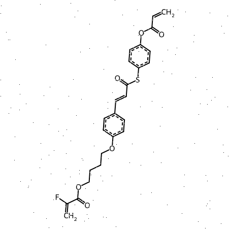 C=CC(=O)Oc1ccc(SC(=O)/C=C/c2ccc(OCCCCOC(=O)C(=C)F)cc2)cc1